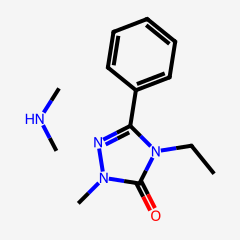 CCn1c(-c2ccccc2)nn(C)c1=O.CNC